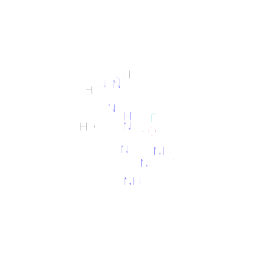 CCN(c1cc(F)ccc1NC)C(C)CNC(=O)c1nc2cc[nH]c2nc1N